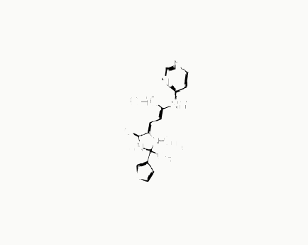 CN1/C(=C\C=C(/C=O)Nc2ccncn2)C(=O)NC1(C)c1ccsc1